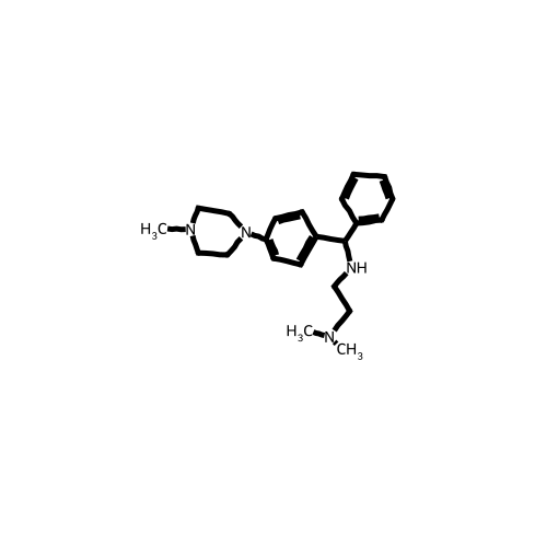 CN(C)CCNC(c1ccccc1)c1ccc(N2CCN(C)CC2)cc1